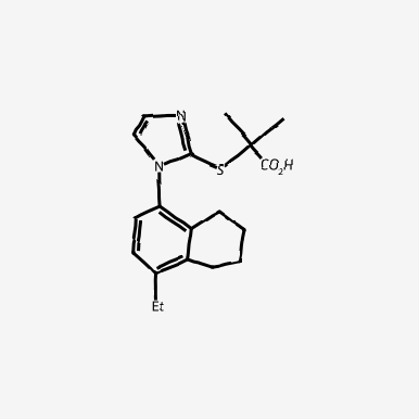 CCc1ccc(-n2ccnc2SC(C)(C)C(=O)O)c2c1CCCC2